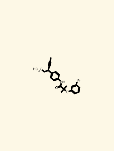 CC#CC(CC(=O)O)c1ccc(NC(=O)C(C)(C)Oc2cccc(C(C)C)c2)cc1